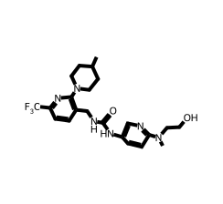 CC1CCN(c2nc(C(F)(F)F)ccc2CNC(=O)Nc2ccc(N(C)CCO)nc2)CC1